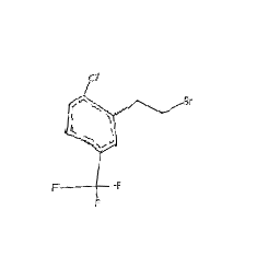 FC(F)(F)c1ccc(Cl)c(CCBr)c1